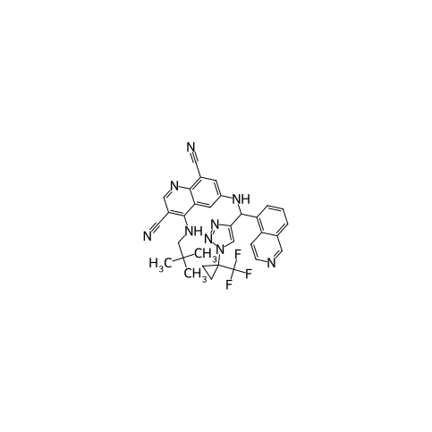 CC(C)(C)CNc1c(C#N)cnc2c(C#N)cc(NC(c3cn(C4(C(F)(F)F)CC4)nn3)c3cccc4cnccc34)cc12